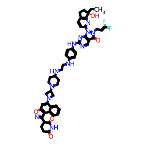 CC[C@@]1(O)CCc2ccc(-n3c4nc(Nc5ccc(NCCNC6CCN(C7CN(c8cc9onc(C%10CCC(=O)NC%10=O)c9c9ccccc89)C7)CC6)cc5)ncc4c(=O)n3CC=C(F)F)nc21